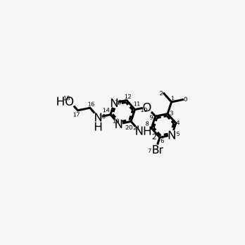 CC(C)c1cnc(Br)cc1Oc1cnc(NCCO)nc1N